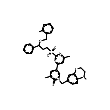 Cc1cc(-c2cc(F)c(=O)n(Cc3ccc4c(c3)OCCN4C)c2)nc(S(=O)(=O)CCC(OCc2ccccc2F)c2ccccc2)n1